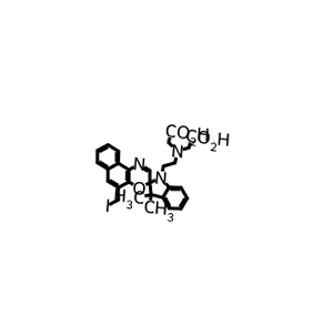 CC1(C)c2ccccc2N(CCN(CC(=O)O)CC(=O)O)C12C=Nc1c(c(CI)cc3ccccc13)O2